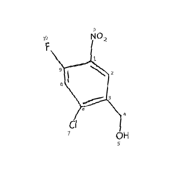 O=[N+]([O-])c1cc(CO)c(Cl)cc1F